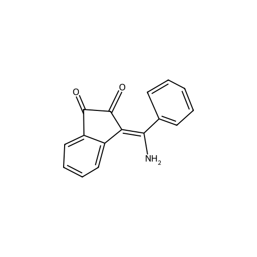 NC(=C1C(=O)C(=O)c2ccccc21)c1ccccc1